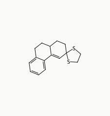 C1=C2c3ccccc3CCC2CCC12SCCS2